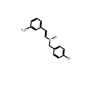 [O-][S+](C=Cc1cccc(C(F)(F)F)c1)Cc1ccc(Cl)cc1